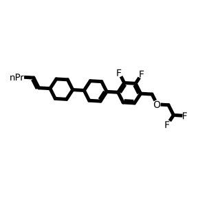 CCC/C=C/C1CCC(C2CC=C(c3ccc(COCC(F)F)c(F)c3F)CC2)CC1